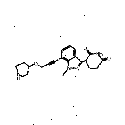 Cn1nc(C2CCC(=O)NC2=O)c2cccc(C#CCOC3CCNCC3)c21